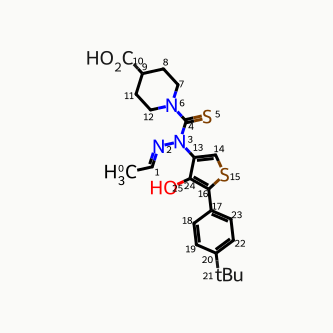 C/C=N/N(C(=S)N1CCC(C(=O)O)CC1)c1csc(-c2ccc(C(C)(C)C)cc2)c1O